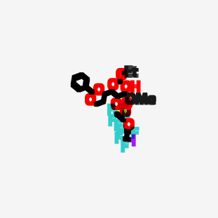 CCOCOC(C1CCOC(c2ccccc2)O1)C(OS(=O)(=O)C(F)(F)C(F)(F)OC(F)(F)C(F)(F)I)C(O)OC